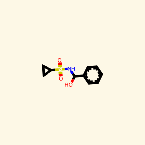 O=S(=O)(NC(O)c1ccccc1)C1CC1